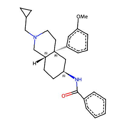 COc1cccc([C@@]23CCN(CC4CC4)C[C@H]2CC[C@H](NC(=O)c2ccccc2)C3)c1